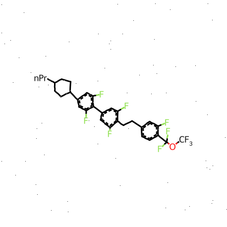 CCCC1CCC(c2cc(F)c(-c3cc(F)c(CCc4ccc(C(F)(F)OC(F)(F)F)c(F)c4)c(F)c3)c(F)c2)CC1